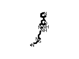 CC(Cc1cnc(NCCCc2csc(CCN(C)C)n2)[nH]c1=O)c1cccnc1